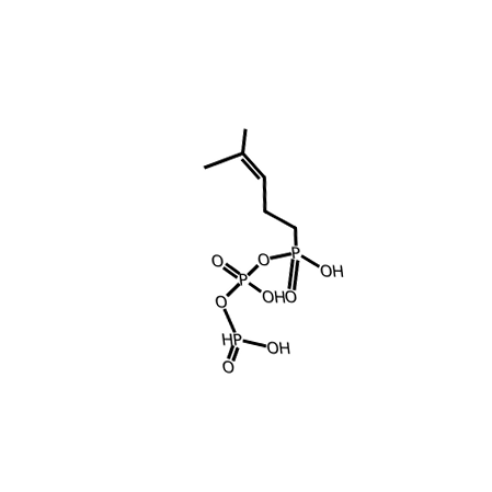 CC(C)=CCCP(=O)(O)OP(=O)(O)O[PH](=O)O